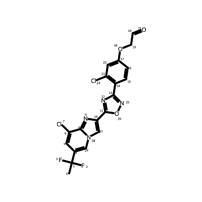 CC(F)(F)c1cc(Cl)c2nc(-c3nc(-c4ccc(OCC=O)cc4Cl)no3)cn2c1